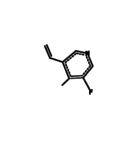 C=Cc1cncc(F)c1C